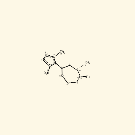 C[C@H]1CC(c2c([N+](=O)[O-])cnn2C)OCC[C@@H]1F